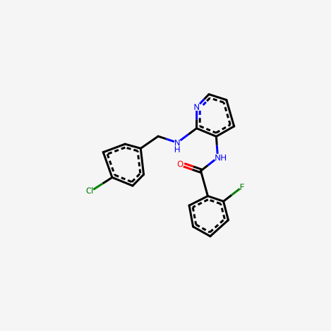 O=C(Nc1cccnc1NCc1ccc(Cl)cc1)c1ccccc1F